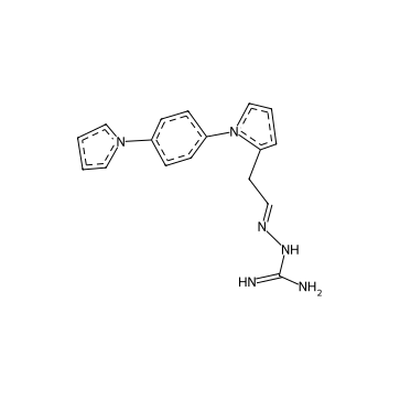 N=C(N)NN=CCc1cccn1-c1ccc(-n2cccc2)cc1